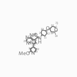 COc1cc(-c2cc(C(=O)NC3CCC(OC4C[C@H](C)O[C@@H](C)C4)CC3)c3c(N)ncnn23)ccn1